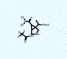 CCCCCC(C)C12CNCC1C2C(=O)N(CC)CC.O=C(O)C(F)(F)F